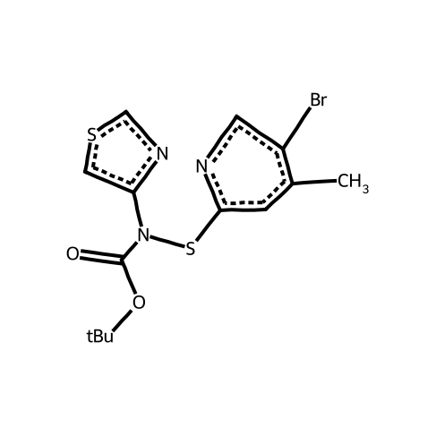 Cc1cc(SN(C(=O)OC(C)(C)C)c2cscn2)ncc1Br